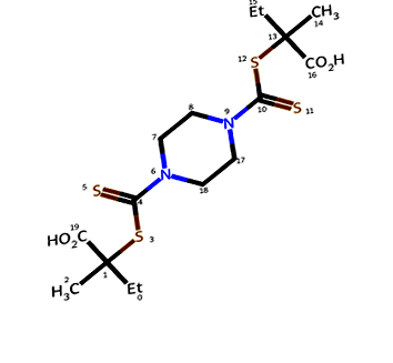 CCC(C)(SC(=S)N1CCN(C(=S)SC(C)(CC)C(=O)O)CC1)C(=O)O